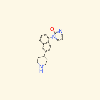 O=c1ncccn1-c1cccc2cc(C3CCNCC3)ccc12